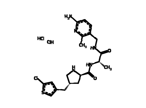 Cc1nc(N)ccc1CNC(=O)[C@H](C)NC(=O)[C@H]1C[C@H](Cc2csc(Cl)c2)CN1.Cl.Cl